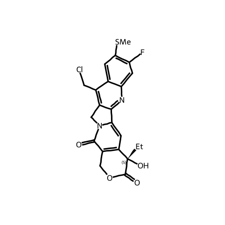 CC[C@@]1(O)C(=O)OCc2c1cc1n(c2=O)Cc2c-1nc1cc(F)c(SC)cc1c2CCl